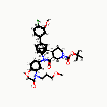 COCCCN1C(=O)COc2ccc(N(C(=O)[C@H]3CN(C(=O)OC(C)(C)C)CC[C@@H]3c3cccc(-c4ccc(F)c(OC)c4)c3)C3CC3)cc21